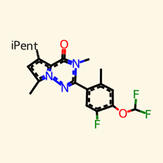 CCCC(C)c1cc(C)n2nc(-c3cc(F)c(OC(F)F)cc3C)n(C)c(=O)c12